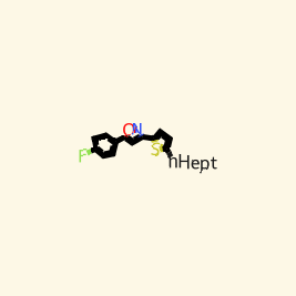 CCCCCCCc1ccc(-c2cc(-c3ccc(F)cc3)on2)s1